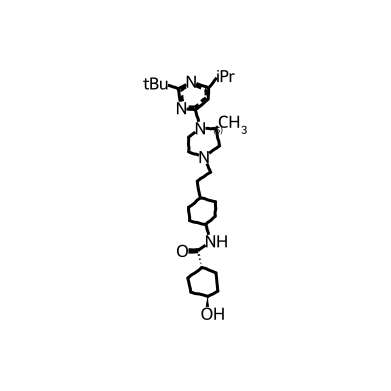 CC(C)c1cc(N2CCN(CCC3CCC(NC(=O)[C@H]4CC[C@H](O)CC4)CC3)C[C@@H]2C)nc(C(C)(C)C)n1